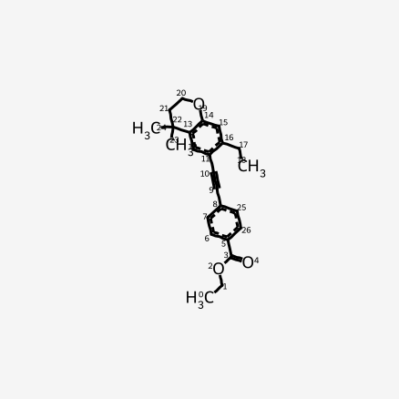 CCOC(=O)c1ccc(C#Cc2cc3c(cc2CC)OCCC3(C)C)cc1